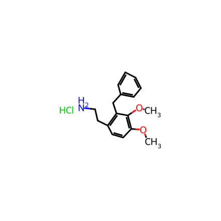 COc1ccc(CCN)c(Cc2ccccc2)c1OC.Cl